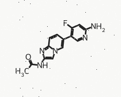 CC(=O)Nc1cn2cc(-c3cnc(N)cc3F)ccc2n1